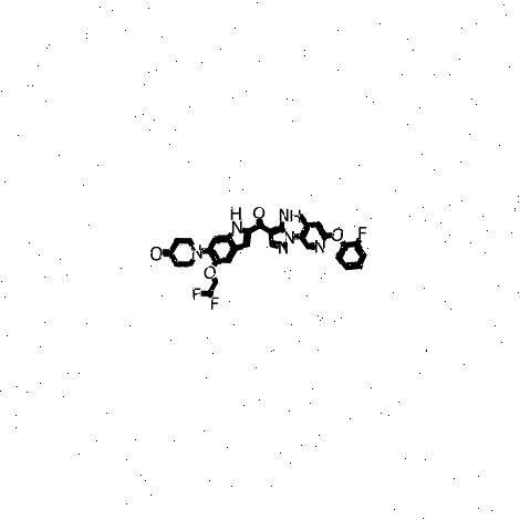 Cc1cc(Oc2ccccc2F)ncc1-n1ncc(C(=O)c2cc3cc(OCC(F)F)c(N4CCC(=O)CC4)cc3[nH]2)c1N